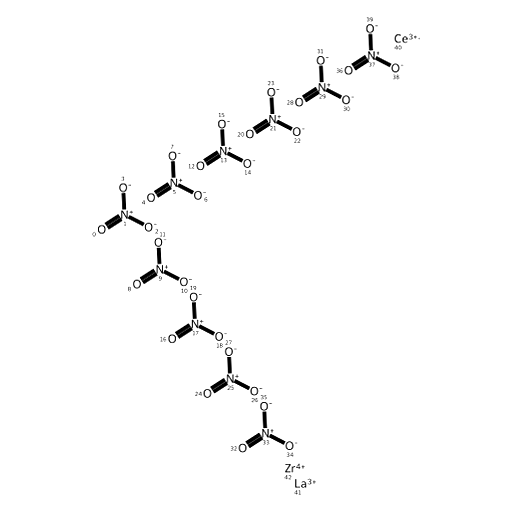 O=[N+]([O-])[O-].O=[N+]([O-])[O-].O=[N+]([O-])[O-].O=[N+]([O-])[O-].O=[N+]([O-])[O-].O=[N+]([O-])[O-].O=[N+]([O-])[O-].O=[N+]([O-])[O-].O=[N+]([O-])[O-].O=[N+]([O-])[O-].[Ce+3].[La+3].[Zr+4]